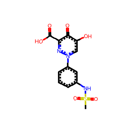 CS(=O)(=O)Nc1cccc(-n2cc(O)c(=O)c(C(=O)O)n2)c1